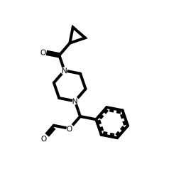 O=COC(c1ccccc1)N1CCN(C(=O)C2CC2)CC1